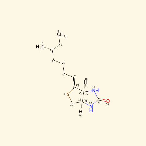 CCC(C)CCCC[C@@H]1SC[C@@H]2NC(=O)N[C@@H]21